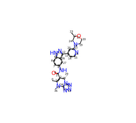 CC1=C(C(=O)Nc2ccc3[nH]nc(-c4ccnc(N5CCO[C@H](C)C5)c4)c3c2)[C@H](C)n2nnnc2N1C